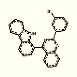 Brc1cccc(-c2nc(-c3cccc4c3[nH]c3ccccc34)c3ccccc3n2)c1